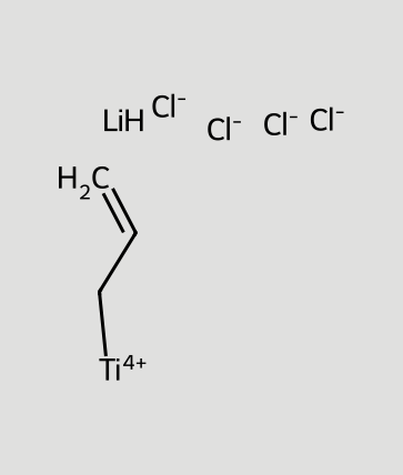 C=C[CH2][Ti+4].[Cl-].[Cl-].[Cl-].[Cl-].[LiH]